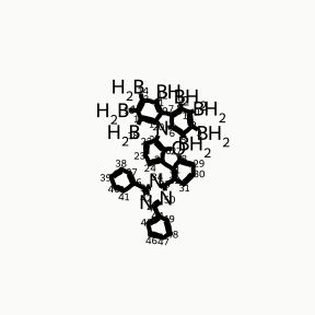 Bc1c(B)c(B)c2c(c1B)c1c(B)c(B)c(B)c(B)c1n2-c1cccc2c1oc1cccc(-c3nc(-c4ccccc4)nc(-c4ccccc4)n3)c12